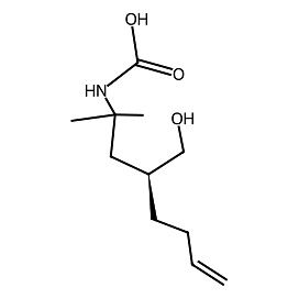 C=CCC[C@H](CO)CC(C)(C)NC(=O)O